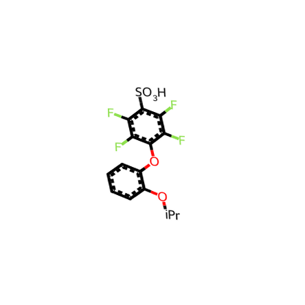 CC(C)Oc1ccccc1Oc1c(F)c(F)c(S(=O)(=O)O)c(F)c1F